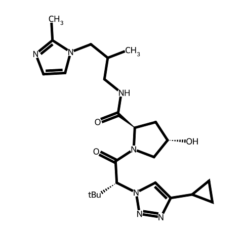 Cc1nccn1CC(C)CNC(=O)[C@H]1C[C@H](O)CN1C(=O)[C@H](n1cc(C2CC2)nn1)C(C)(C)C